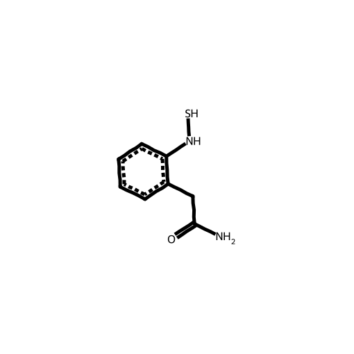 NC(=O)Cc1ccccc1NS